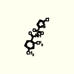 Cc1ccc(C(=O)NS(=O)(=O)c2ccc(Cl)s2)c(C(F)(F)F)c1